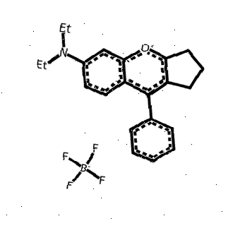 CCN(CC)c1ccc2c(-c3ccccc3)c3c([o+]c2c1)CCC3.F[B-](F)(F)F